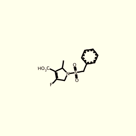 CC1C(C(=O)O)=C(F)CN1S(=O)(=O)Cc1ccccc1